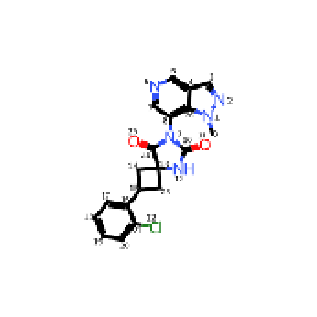 Cn1ncc2cncc(N3C(=O)NC4(CC(c5ccccc5Cl)C4)C3=O)c21